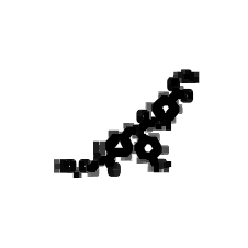 CCCCOC(=O)c1ccc(NC(=O)N(Cc2ccc(C(=O)NCC(=O)O)cc2)C2CCC(C(C)C)CC2)cc1